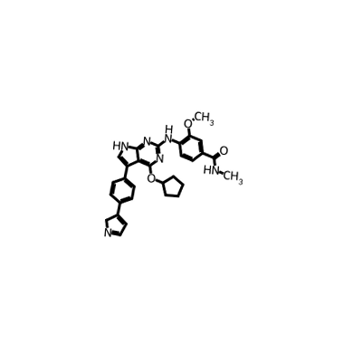 CNC(=O)c1ccc(Nc2nc(OC3CCCC3)c3c(-c4ccc(C5=CC=NC5)cc4)c[nH]c3n2)c(OC)c1